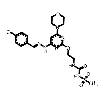 CS(=O)(=O)NC(=O)NCCOc1nc(N/N=C/c2ccc(Cl)cc2)cc(N2CCOCC2)n1